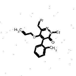 C=CCOc1c(CC(C)C)nn(CC)c(=O)c1-c1ccccc1C